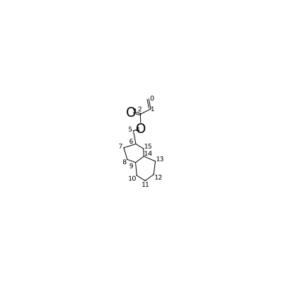 C=CC(=O)OCC1CCC2CCCCC2C1